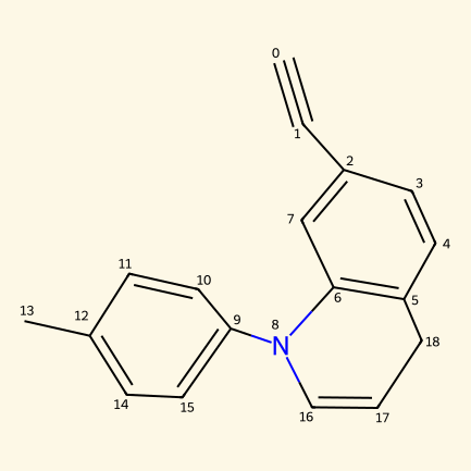 C#Cc1ccc2c(c1)N(c1ccc(C)cc1)C=CC2